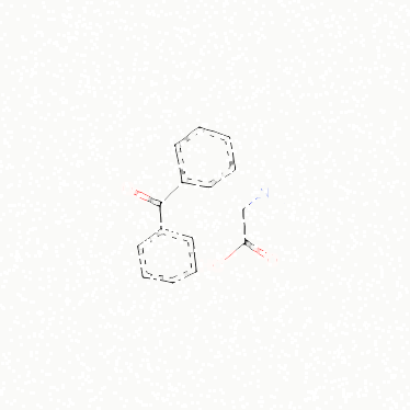 NCC(=O)O.O=C(c1ccccc1)c1ccccc1